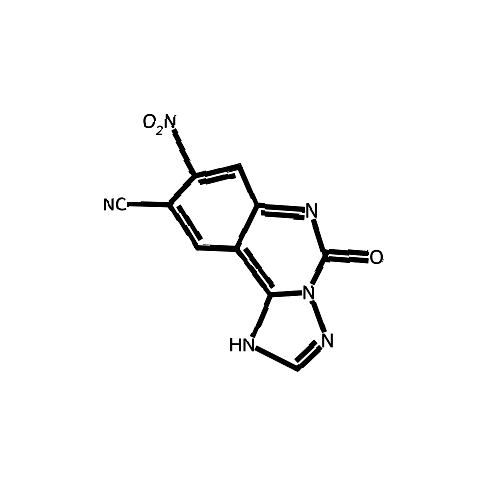 N#Cc1cc2c(cc1[N+](=O)[O-])nc(=O)n1nc[nH]c21